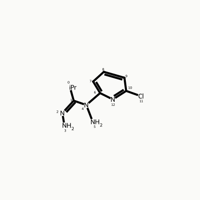 CC(C)/C(=N/N)N(N)c1cccc(Cl)n1